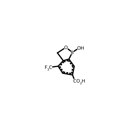 O=C(O)c1cc2c(c(C(F)(F)F)c1)COB2O